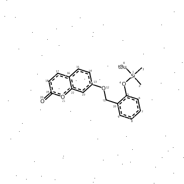 CC(C)(C)[Si](C)(C)Oc1ccccc1COc1ccc2ccc(=O)oc2c1